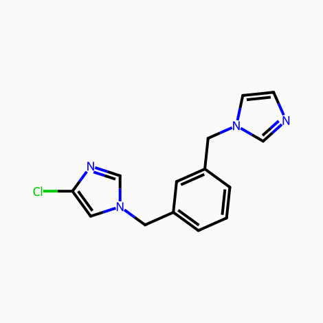 Clc1cn(Cc2cccc(Cn3ccnc3)c2)cn1